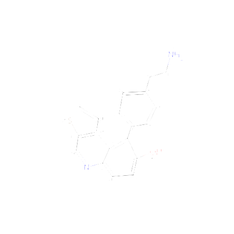 NCCc1ccc(-c2c(O)ccc3ncc4sccc4c23)cc1